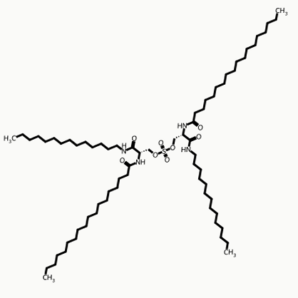 CCCCCCCCCCCCCCCCCC(=O)N[C@@H](COS(=O)(=O)OC[C@H](NC(=O)CCCCCCCCCCCCCCCCC)C(=O)NCCCCCCCCCCCCCC)C(=O)NCCCCCCCCCCCCCC